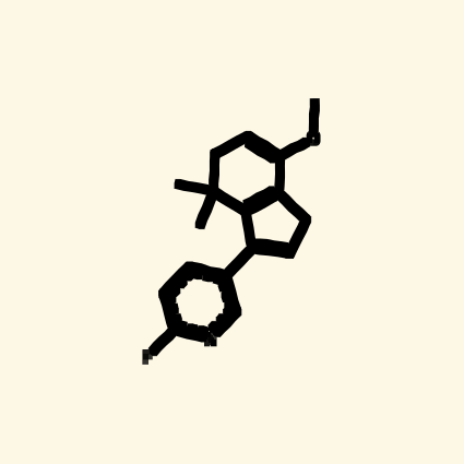 COC1=CCC(C)(C)C2=C1CC=C2c1ccc(F)nc1